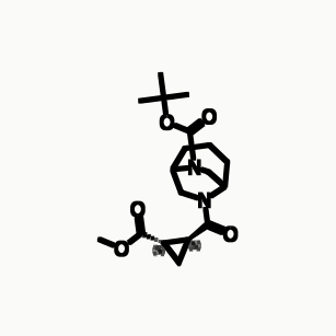 COC(=O)[C@H]1C[C@@H]1C(=O)N1CC2CCCC1CN2C(=O)OC(C)(C)C